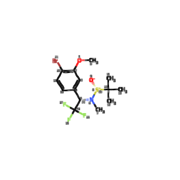 COc1cc([C@H](N(C)[S@+]([O-])C(C)(C)C)C(F)(F)F)ccc1Br